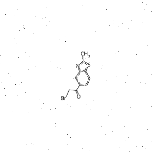 Cc1nc2cc(C(=O)CBr)ccc2s1